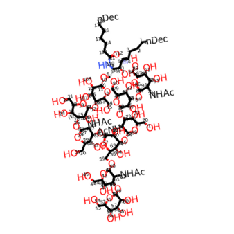 CCCCCCCCCCCCC/C=C/[C@@H](O)[C@H](CO[C@@H]1OC(CO)[C@@H](O[C@@H]2OC(CO)[C@H](O)[C@H](O[C@@H]3OC(CO)[C@@H](O)[C@H](O[C@@H]4OC(CO[C@@H]5OC(CO)[C@@H](O)[C@H](O[C@@H]6OC(CO)[C@H](O)[C@H](O)C6O)C5NC(C)=O)[C@H](O)[C@H](O[C@@H]5OC(CO)[C@@H](O)[C@H](O[C@@H]6OC(CO)[C@H](O)[C@H](O[C@H]7OC(CO)[C@H](O)[C@H](O)C7NC(C)=O)C6O)C5NC(C)=O)C4O)C3NC(C)=O)C2O)[C@H](O)C1O)NC(=O)CCCCCCCCCCCCCCC